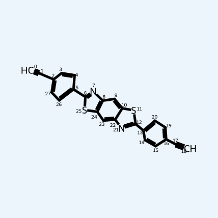 C#Cc1ccc(-c2nc3cc4sc(-c5ccc(C#C)cc5)nc4cc3s2)cc1